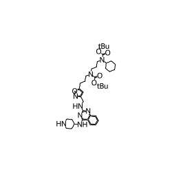 CC(C)(C)OC(=O)N(CCCc1cc(CNc2nc(NC3CCNCC3)c3ccccc3n2)no1)CCCN(C(=O)OC(C)(C)C)C1CCCCC1